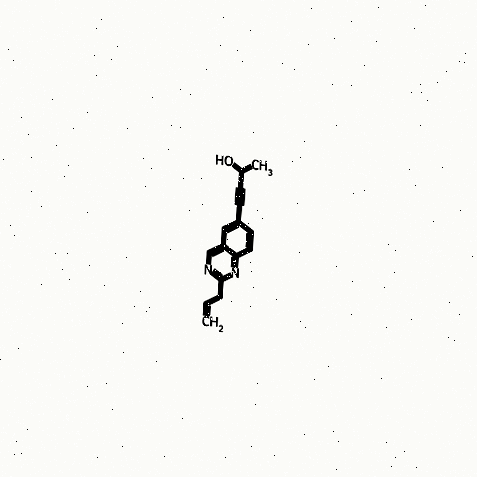 C=CCc1ncc2cc(C#CC(C)O)ccc2n1